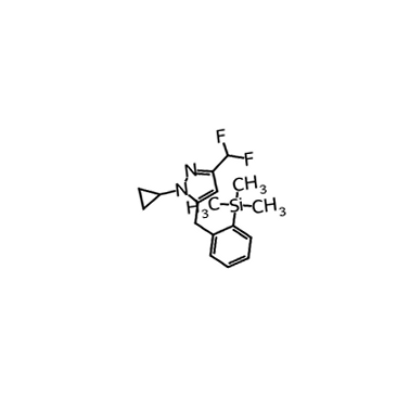 C[Si](C)(C)c1ccccc1Cc1cc(C(F)F)nn1C1CC1